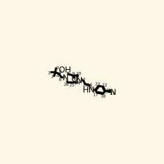 CC(C)(C)C(O)CN1CC2CN(CCCNc3ccc(C#N)cc3)CC(C1)O2